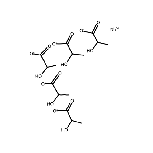 CC(O)C(=O)[O-].CC(O)C(=O)[O-].CC(O)C(=O)[O-].CC(O)C(=O)[O-].CC(O)C(=O)[O-].[Nb+5]